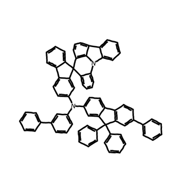 c1ccc(-c2cccc(N(c3ccc4c(c3)C(c3ccccc3)(c3ccccc3)c3cc(-c5ccccc5)ccc3-4)c3ccc4c(c3)C3(c5ccccc5-4)c4ccccc4-n4c5ccccc5c5cccc3c54)c2)cc1